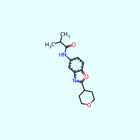 CC(C)C(=O)Nc1ccc2oc(C3CCOCC3)nc2c1